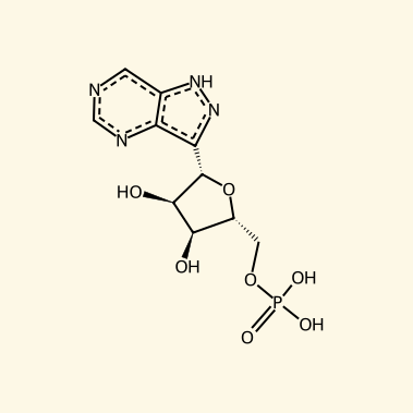 O=P(O)(O)OC[C@H]1O[C@@H](c2n[nH]c3cncnc23)[C@H](O)[C@@H]1O